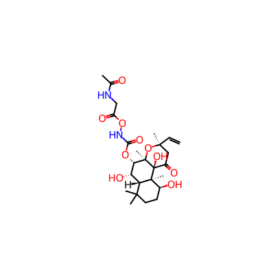 C=C[C@@]1(C)CC(=O)[C@]2(O)[C@@]3(C)[C@@H](O)CCC(C)(C)[C@@H]3[C@H](O)[C@H](OC(=O)NOC(=O)CNC(C)=O)[C@@]2(C)O1